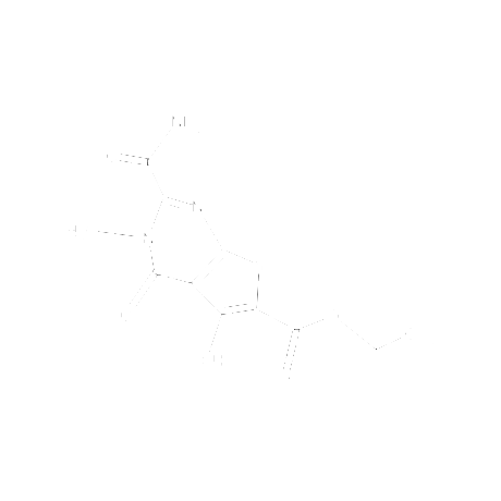 CCOC(=O)c1sc2nc(C(N)=O)n(C)c(=O)c2c1C